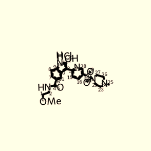 COCCNC(=O)c1ccc2[nH]c(O)c(-c3ccc(S(=O)(=O)N4CCN(C)CC4)cn3)c2c1.Cl